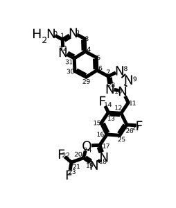 Nc1ncc2cc(-c3nnn(Cc4c(F)cc(-c5nnc(C(F)F)o5)cc4F)n3)ccc2n1